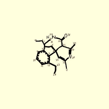 CCCCC1(c2c(CC)cccc2CC)C=C(C)N=C(C)C1C(N)=O